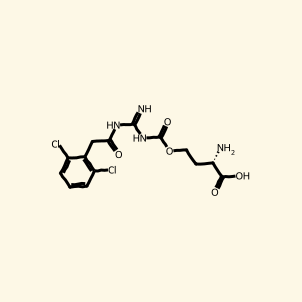 N=C(NC(=O)Cc1c(Cl)cccc1Cl)NC(=O)OCC[C@H](N)C(=O)O